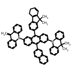 C=C1c2ccccc2N(c2ccc3c(-c4ccc5ccccc5c4)c4cc(N5c6ccccc6C(C)(C)c6ccccc65)ccc4c(-c4ccc5c(c4)C(C)(C)C4=C5CCC=C4)c3c2)c2ccccc21